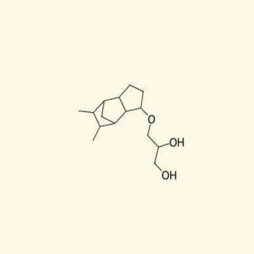 CC1C(C)C2CC1C1CCC(OCC(O)CO)C21